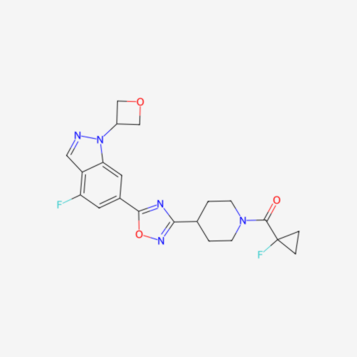 O=C(N1CCC(c2noc(-c3cc(F)c4cnn(C5COC5)c4c3)n2)CC1)C1(F)CC1